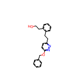 OCCc1ccccc1CCc1ccc(OCc2ccccc2)nn1